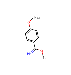 CCCCCCOc1ccc(C(=N)OCC)cc1